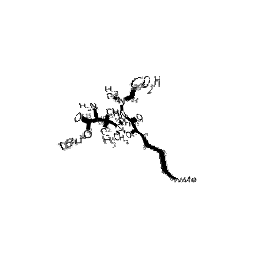 CNCCCCC(O[Si](C)(C)C(C)(C)C(N)C(=O)OC(C)(C)C)C(=O)NN(C)CC(=O)O